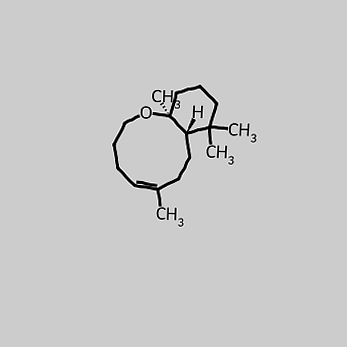 C/C1=C/CCCO[C@@]2(C)CCCC(C)(C)[C@@H]2CC1